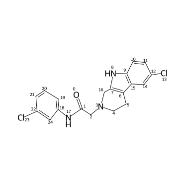 O=C(CN1CCc2c([nH]c3ccc(Cl)cc23)C1)Nc1cccc(Cl)c1